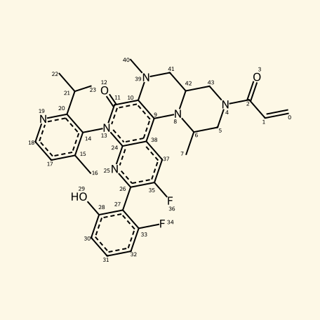 C=CC(=O)N1CC(C)N2c3c(c(=O)n(-c4c(C)ccnc4C(C)C)c4nc(-c5c(O)cccc5F)c(F)cc34)N(C)CC2C1